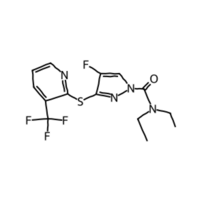 CCN(CC)C(=O)n1cc(F)c(Sc2ncccc2C(F)(F)F)n1